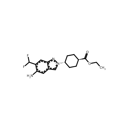 CCOC(=O)[C@H]1CC[C@H](n2cc3cc(N)c(C(F)F)cc3n2)CC1